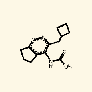 O=C(O)Nc1c(CC2CCC2)nnc2c1CCC2